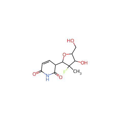 CC1(F)C(O)C(CO)OC1C1C=CC(=O)NC1=O